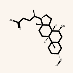 CCO[C@@H]1CC[C@@]2(C)C(C1)C[C@H](O)[C@H]1C3CC[C@H]([C@H](C)CCC(=O)C(C)CC)[C@@]3(C)CC[C@@H]12